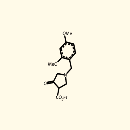 CCOC(=O)C1CN(Cc2ccc(OC)cc2OC)CC1=O